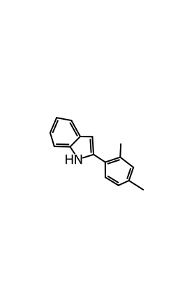 Cc1ccc(-c2cc3ccccc3[nH]2)c(C)c1